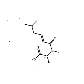 C[C@@H](C(=O)O)N(C)C(=O)/C=C/CN(C)C